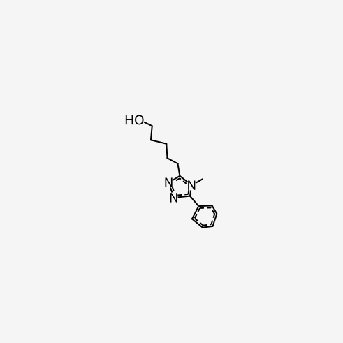 Cn1c(CCCCCO)nnc1-c1ccccc1